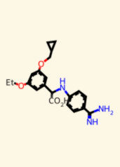 CCOc1cc(OCC2CC2)cc(C(Nc2ccc(C(=N)N)cc2)C(=O)O)c1